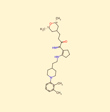 Cc1cccc(N2CCC(CCNC3=C(C(=N)C(=O)CCC4C[C@@H](C)O[C@@H](C)C4)CCC3)CC2)c1C